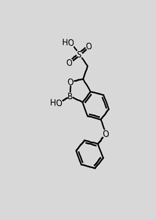 O=S(=O)(O)CC1OB(O)c2cc(Oc3ccccc3)ccc21